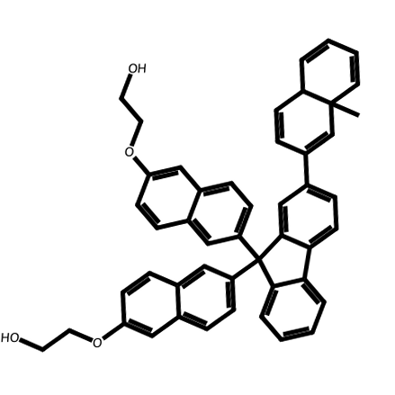 CC12C=CC=CC1C=CC(c1ccc3c(c1)C(c1ccc4cc(OCCO)ccc4c1)(c1ccc4cc(OCCO)ccc4c1)c1ccccc1-3)=C2